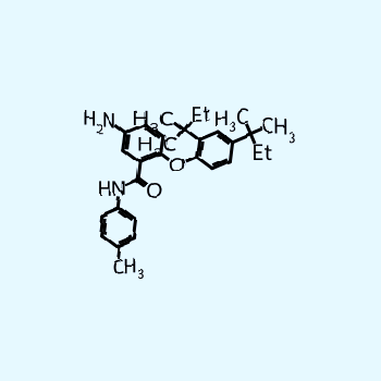 CCC(C)(C)c1ccc(Oc2ccc(N)cc2C(=O)Nc2ccc(C)cc2)c(C(C)(C)CC)c1